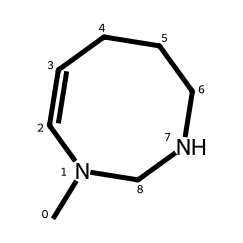 CN1/C=C\CCCNC1